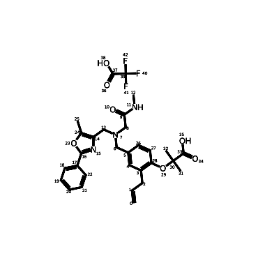 C=CCc1cc(CN(CC(=O)NC)Cc2nc(-c3ccccc3)oc2C)ccc1OC(C)(C)C(=O)O.O=C(O)C(F)(F)F